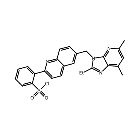 CCc1nc2c(C)cc(C)nc2n1Cc1ccc2nc(-c3ccccc3S(=O)(=O)Cl)ccc2c1